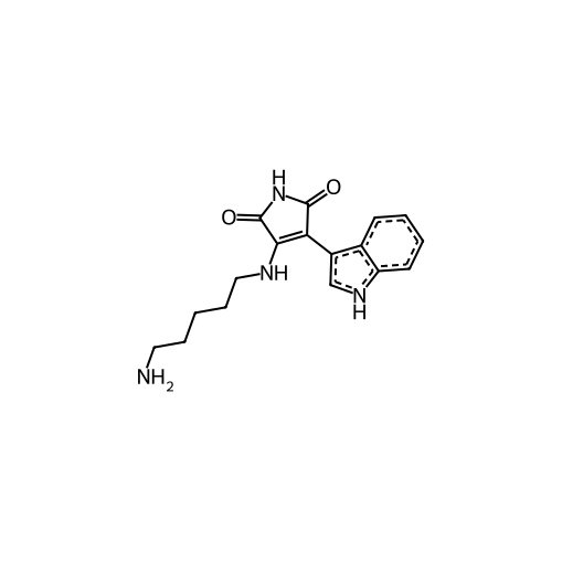 NCCCCCNC1=C(c2c[nH]c3ccccc23)C(=O)NC1=O